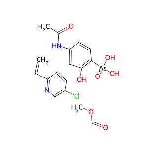 C=Cc1ccc(Cl)cn1.CC(=O)Nc1ccc([As](=O)(O)O)c(O)c1.COC=O